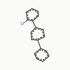 Clc1[c]cccc1-c1ccc(-c2ccccc2)cc1